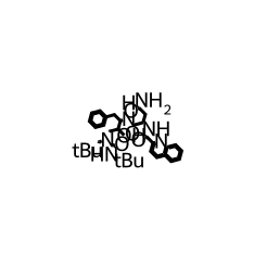 CC(C)(C)CN(CC(O)C(Cc1ccccc1)NC(=O)C(CC(N)=O)NC(=O)c1ccc2ccccc2n1)C(=O)NC(C)(C)C